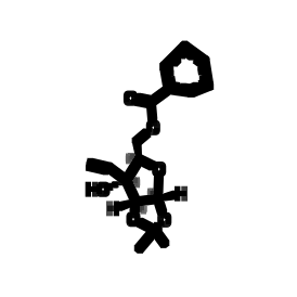 C=C[C@@]1(O)[C@@H](COC(=O)c2ccccc2)O[C@@H]2OC(C)(C)O[C@@H]21